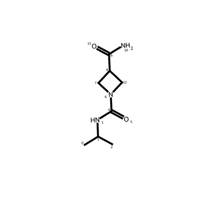 CC(C)NC(=O)N1CC(C(N)=O)C1